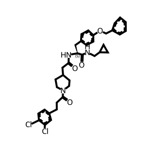 O=C(CC1CCN(C(=O)CCc2ccc(Cl)c(Cl)c2)CC1)N[C@@H](Cc1ccc(OCc2ccccc2)cc1)C(=O)NCC1CC1